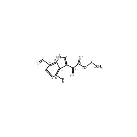 CCOC(=O)C(=O)c1c[nH]c2c(C=O)ccc(F)c12